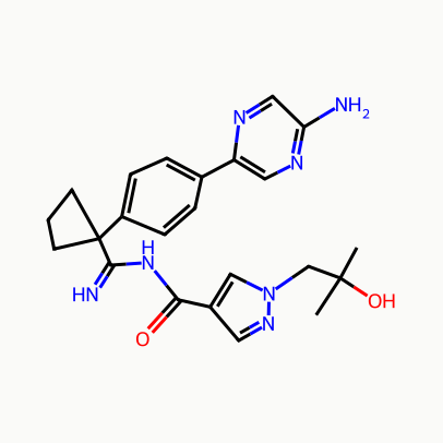 CC(C)(O)Cn1cc(C(=O)NC(=N)C2(c3ccc(-c4cnc(N)cn4)cc3)CCC2)cn1